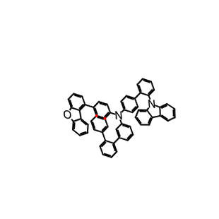 c1ccc(-c2ccccc2-c2cccc(N(c3ccc(-c4ccccc4-n4c5ccccc5c5ccccc54)cc3)c3ccc(-c4cccc5oc6ccccc6c45)cc3)c2)cc1